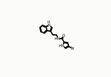 O=C(NCCc1c[nH]c2ccccc12)c1cc(Br)c[nH]1